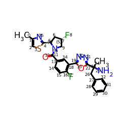 Cc1csc([C@H]2C[C@H](F)CN2C(=O)c2ccc(F)c(-c3nnc(C(C)(N)Cc4ccccc4)o3)c2)n1